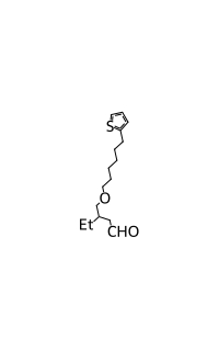 CCC(CC=O)COCCCCCCc1cccs1